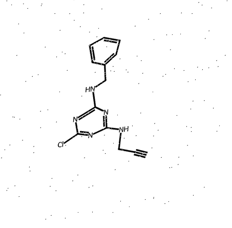 C#CCNc1nc(Cl)nc(NCc2ccccc2)n1